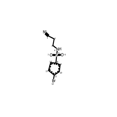 N#CCCNS(=O)(=O)c1ccc(Br)cc1